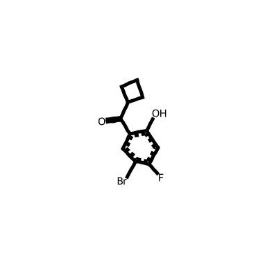 O=C(c1cc(Br)c(F)cc1O)C1CCC1